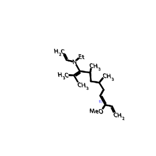 C=C/C(=C\CC(C)CC(C)C(=C(C)C)N(C=C)CC)OC